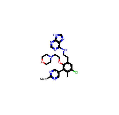 COc1ncc(-c2c(C)c(Cl)cc(CCNc3ncnc4[nH]cnc34)c2OCCN2CCOCC2)cn1